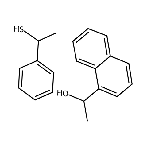 CC(O)c1cccc2ccccc12.CC(S)c1ccccc1